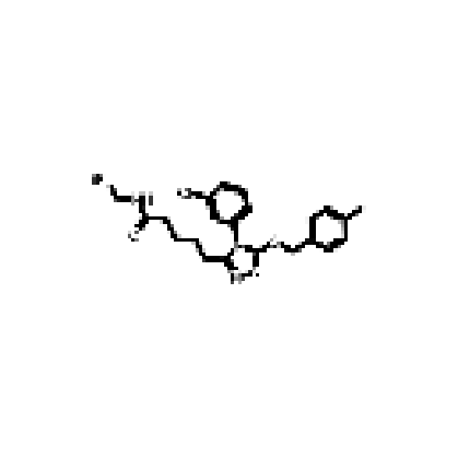 Cc1ccc(CSc2nnc(CCCCC(=O)NCC(C)C)n2-c2cccc(Cl)c2)cc1